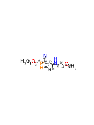 CCOCCP/C(C#N)=C1/C=C(NCCCOC)CCC1